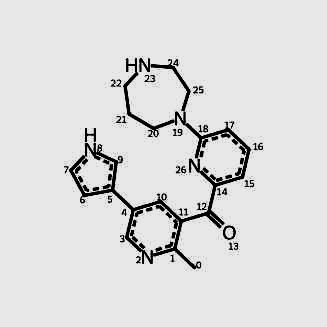 Cc1ncc(-c2cc[nH]c2)cc1C(=O)c1cccc(N2CCCNCC2)n1